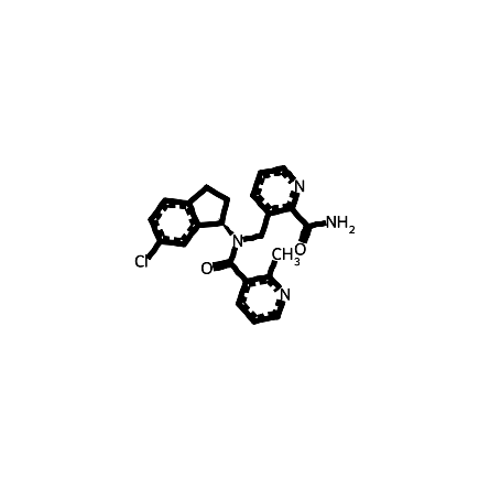 Cc1ncccc1C(=O)N(Cc1cccnc1C(N)=O)[C@@H]1CCc2ccc(Cl)cc21